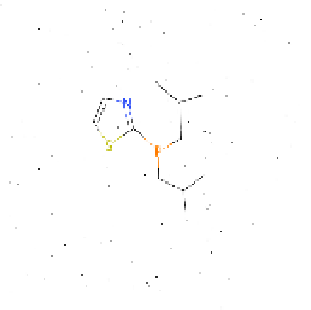 CC(C)CP(CC(C)C)c1nccs1